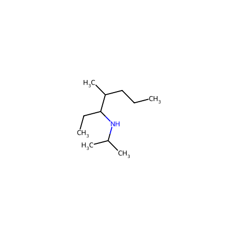 CCCC(C)C(CC)NC(C)C